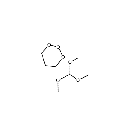 C1COOOC1.COC(OC)OC